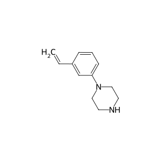 C=Cc1cccc(N2CCNCC2)c1